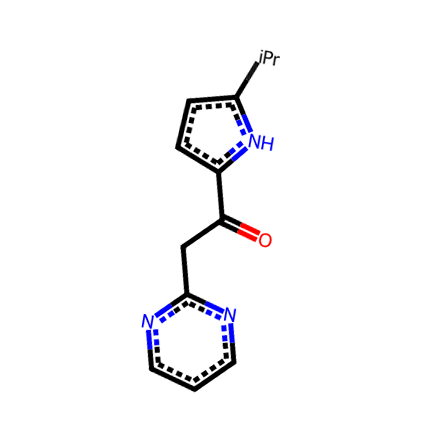 CC(C)c1ccc(C(=O)Cc2ncccn2)[nH]1